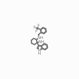 NC1(c2c[nH]c3ccccc23)CCCCC1NCc1ccccc1C(F)(F)F